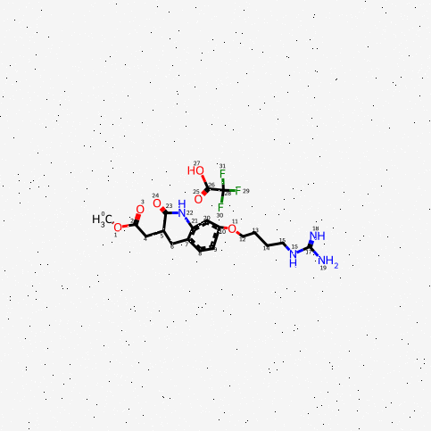 COC(=O)CC1Cc2ccc(OCCCCNC(=N)N)cc2NC1=O.O=C(O)C(F)(F)F